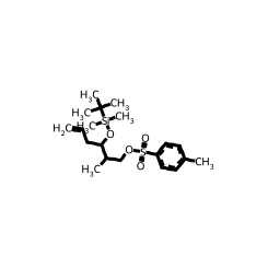 C=CCC(O[Si](C)(C)C(C)(C)C)C(C)COS(=O)(=O)c1ccc(C)cc1